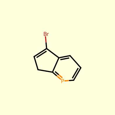 BrC1=CCc2pcccc21